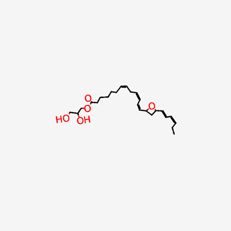 CC/C=C\C=C\C1CC(/C=C\C=C/C/C=C\CCCCCC(=O)OCC(O)CO)O1